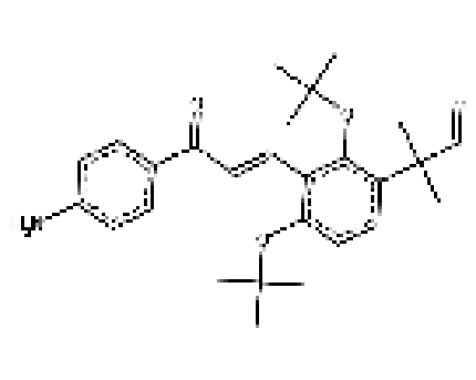 C=CC(C)(C)c1ccc(OC(C)(C)C)c(/C=C/C(=O)c2ccc(N)cc2)c1OC(C)(C)C